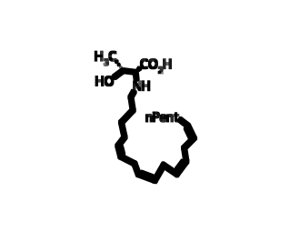 CCCCC/C=C\C/C=C\C/C=C\C/C=C\CCCCN[C@H](C(=O)O)[C@@H](C)O